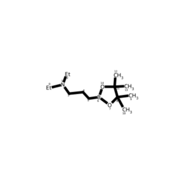 CCN(CC)CCCB1OC(C)(C)C(C)(C)O1